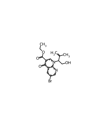 C=C(C)C(CO)n1cc(C(=O)OCC)c(=O)c2cc(Br)cnc21